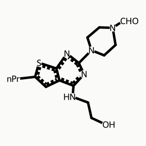 CCCc1cc2c(NCCO)nc(N3CCN(C=O)CC3)nc2s1